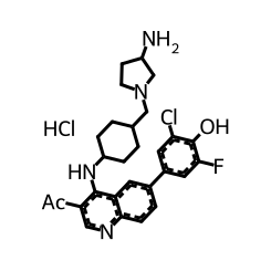 CC(=O)c1cnc2ccc(-c3cc(F)c(O)c(Cl)c3)cc2c1NC1CCC(CN2CCC(N)C2)CC1.Cl